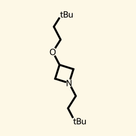 CC(C)(C)CCOC1CN(CCC(C)(C)C)C1